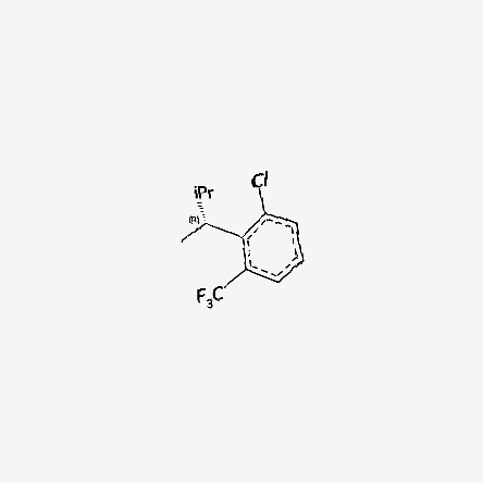 CC(C)[C@@H](C)c1c(Cl)cccc1C(F)(F)F